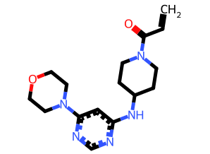 C=CC(=O)N1CCC(Nc2cc(N3CCOCC3)ncn2)CC1